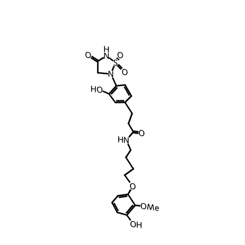 COc1c(O)cccc1OCCCCNC(=O)CCc1ccc(N2CC(=O)NS2(=O)=O)c(O)c1